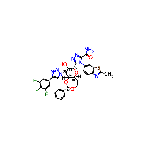 Cc1nc2ccc(-n3c(C(N)=O)nnc3[C@@H]3O[C@@H]4CCO[C@H](c5ccccc5)O[C@@H]4[C@H](n4cc(-c5cc(F)c(F)c(F)c5)nn4)[C@H]3O)cc2s1